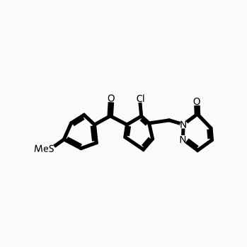 CSc1ccc(C(=O)c2cccc(Cn3ncccc3=O)c2Cl)cc1